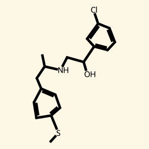 CSc1ccc(CC(C)NCC(O)c2cccc(Cl)c2)cc1